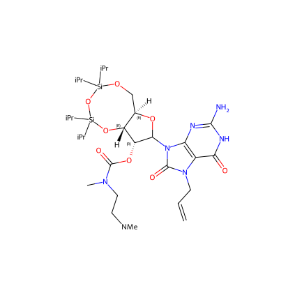 C=CCn1c(=O)n(C2O[C@@H]3CO[Si](C(C)C)(C(C)C)O[Si](C(C)C)(C(C)C)O[C@H]3[C@H]2OC(=O)N(C)CCNC)c2nc(N)[nH]c(=O)c21